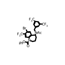 CC(=O)N(Cc1cc(C(F)(F)F)cc(C(F)(F)F)c1)C1CCCN(C(=O)OC(C)C)c2cc(C(F)(F)F)c(Br)cc21